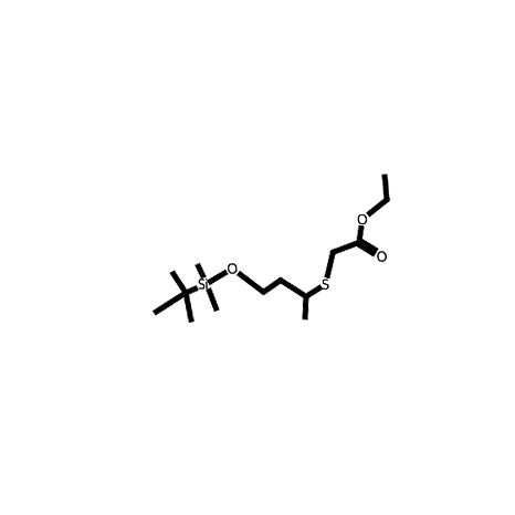 CCOC(=O)CSC(C)CCO[Si](C)(C)C(C)(C)C